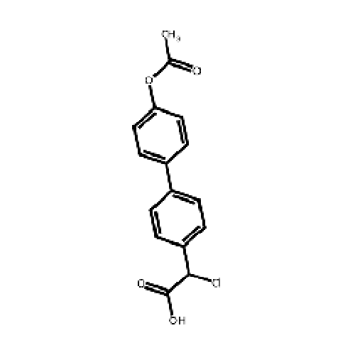 CC(=O)Oc1ccc(-c2ccc(C(Cl)C(=O)O)cc2)cc1